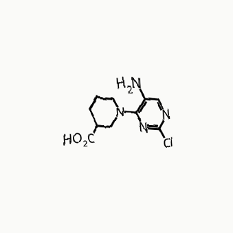 Nc1cnc(Cl)nc1N1CCCC(C(=O)O)C1